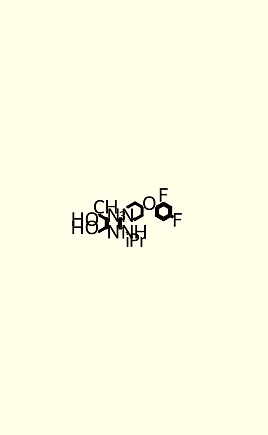 CC(C)Nc1nc(CO)c(C(C)O)nc1N1CCC(Oc2ccc(F)cc2F)CC1